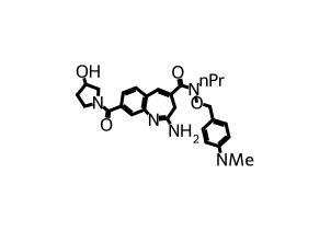 CCCN(OCc1ccc(NC)cc1)C(=O)C1=Cc2ccc(C(=O)N3CCC(O)C3)cc2N=C(N)C1